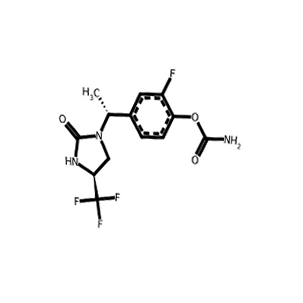 C[C@H](c1ccc(OC(N)=O)c(F)c1)N1C[C@@H](C(F)(F)F)NC1=O